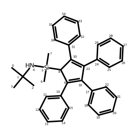 CC(C)(C)N[Si](C)(C)C1C(c2ccccc2)=C(c2ccccc2)C(c2ccccc2)=C1c1ccccc1